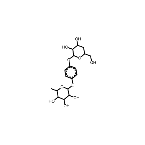 CC1OC(Oc2ccc(OC3OC(CO)CC(O)C3O)cc2)C(O)C(O)C1O